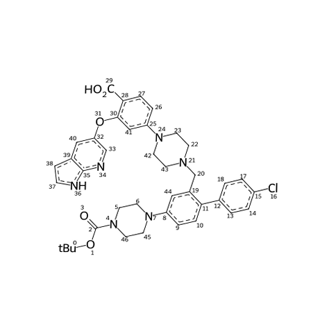 CC(C)(C)OC(=O)N1CCN(c2ccc(-c3ccc(Cl)cc3)c(CN3CCN(c4ccc(C(=O)O)c(Oc5cnc6[nH]ccc6c5)c4)CC3)c2)CC1